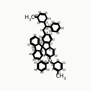 CC1=CC(N(C2=CC3C(C=C2)c2ccc(CC(c4ccccc4)C4CC=CC(C)C4)cc2C32c3ccccc3-c3ccccc32)c2ccccc2)CC=C1